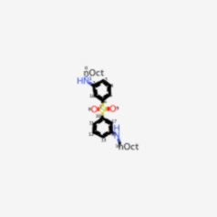 CCCCCCCCNc1cccc(S(=O)(=O)c2cccc(NCCCCCCCC)c2)c1